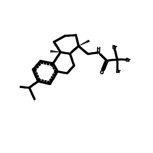 CC(C)c1ccc2c(c1)CCC1[C@](C)(CNC(=O)C(Br)(Br)Br)CCC[C@]21C